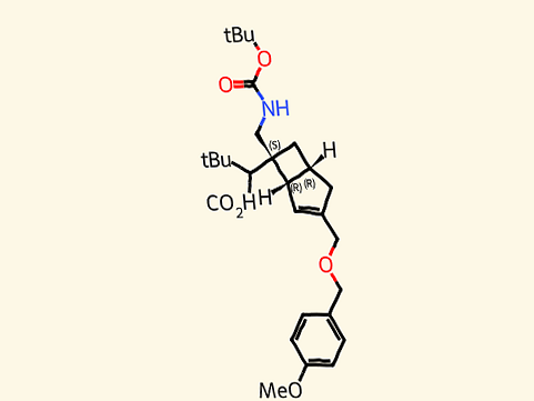 COc1ccc(COCC2=C[C@H]3[C@@H](C2)C[C@@]3(CNC(=O)OC(C)(C)C)C(C(=O)O)C(C)(C)C)cc1